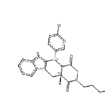 CCCCN1CC(=O)N2[C@@H](c3ccc(Cl)cc3)c3[nH]c4ccccc4c3C[C@H]2C1=O